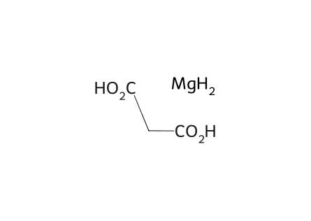 O=C(O)CC(=O)O.[MgH2]